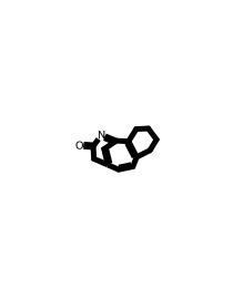 O=C1CC2=CC(=N1)C1=C(C=C2)CCCC1